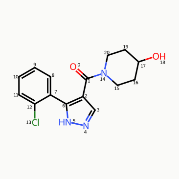 O=C(c1cn[nH]c1-c1ccccc1Cl)N1CCC(O)CC1